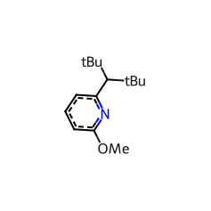 COc1cccc(C(C(C)(C)C)C(C)(C)C)n1